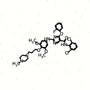 COc1cc(Nc2ncc(C(=O)Nc3c(Cl)cccc3Cl)c(Oc3ccccc3F)n2)cc(OC)c1OCCCN1CCN(C)CC1